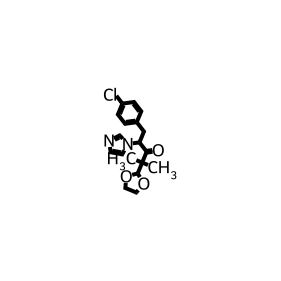 CC(C)(C(=O)C(Cc1ccc(Cl)cc1)n1ccnc1)C1OCCO1